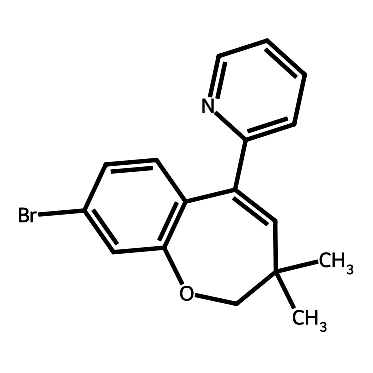 CC1(C)C=C(c2ccccn2)c2ccc(Br)cc2OC1